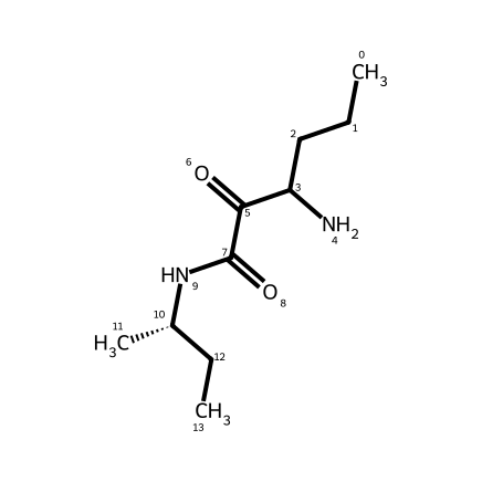 CCCC(N)C(=O)C(=O)N[C@@H](C)CC